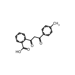 Cc1ccc(C(=O)CC(=O)c2ccccc2C(=O)O)cc1